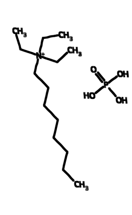 CCCCCCCC[N+](CC)(CC)CC.O=P(O)(O)O